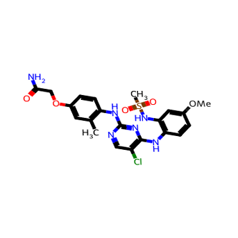 COc1ccc(Nc2nc(Nc3ccc(OCC(N)=O)cc3C)ncc2Cl)c(NS(C)(=O)=O)c1